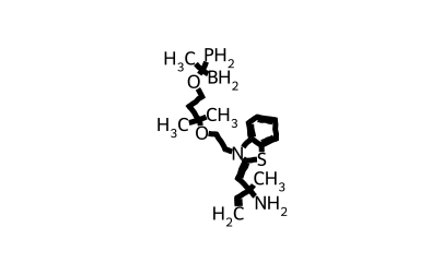 BC(C)(P)OCCC(C)(C)OCCN1/C(=C/C(C)(N)C=C)Sc2ccccc21